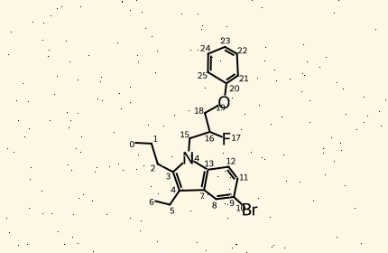 CCCc1c(CC)c2cc(Br)ccc2n1CC(F)COc1ccccc1